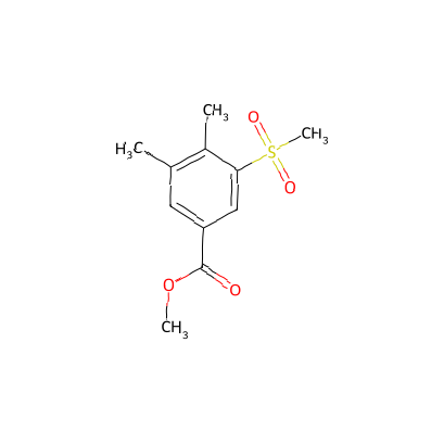 COC(=O)c1cc(C)c(C)c(S(C)(=O)=O)c1